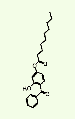 CCCCCCCCCC(=O)Oc1ccc(C(=O)c2ccccc2)c(O)c1